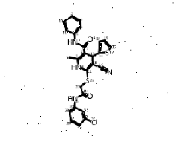 CC1=C(C(=O)Nc2ccccc2)C(c2cccs2)C(C#N)=C(SCC(=O)Nc2cccc(Cl)c2)N1